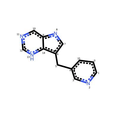 c1cncc(Cc2cnc3cnc[nH]c2-3)c1